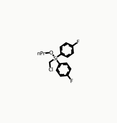 CCCO[Si](CCl)(c1ccc(F)cc1)c1ccc(F)cc1